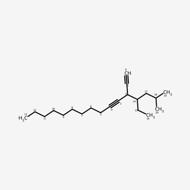 C#CC(C#CCCCCCCCC[CH2])C(CC)CC(C)C